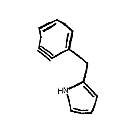 c1cccc(Cc2ccc[nH]2)c#1